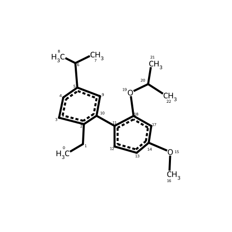 CCc1ccc(C(C)C)cc1-c1ccc(OC)cc1OC(C)C